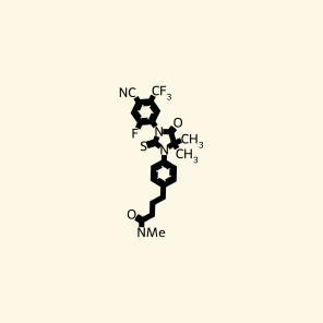 CNC(=O)CCCc1ccc(N2C(=S)N(c3cc(C(F)(F)F)c(C#N)cc3F)C(=O)C2(C)C)cc1